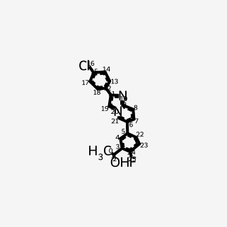 CC(O)c1cc(-c2ccc3nc(-c4ccc(Cl)cc4)cn3c2)ccc1F